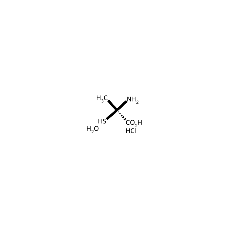 C[C@@](N)(S)C(=O)O.Cl.O